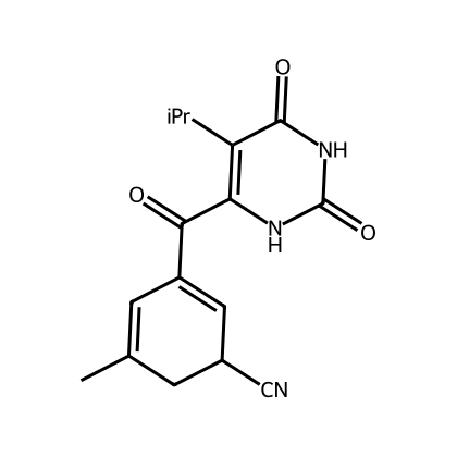 CC1=CC(C(=O)c2[nH]c(=O)[nH]c(=O)c2C(C)C)=CC(C#N)C1